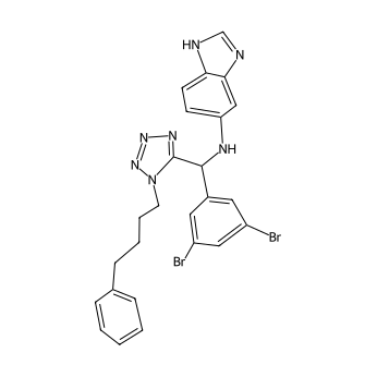 Brc1cc(Br)cc(C(Nc2ccc3[nH]cnc3c2)c2nnnn2CCCCc2ccccc2)c1